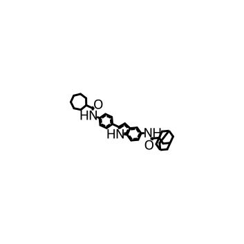 O=C(Nc1ccc(-c2cc3cc(NC(=O)C45CC6CC(CC(C6)C4)C5)ccc3[nH]2)cc1)C1CCCCCC1